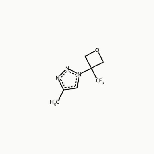 Cc1cn(C2(C(F)(F)F)COC2)nn1